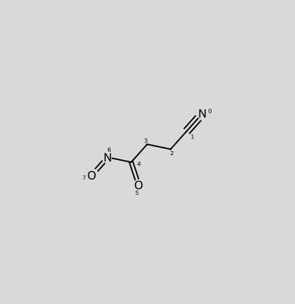 N#CCCC(=O)N=O